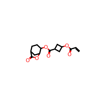 C=CC(=O)OC1CC(C(=O)OC2CCC3CC2OC3=O)C1